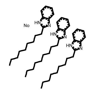 CCCCCCCCCc1nc2ccccc2[nH]1.CCCCCCCCCc1nc2ccccc2[nH]1.CCCCCCCCCc1nc2ccccc2[nH]1.[No]